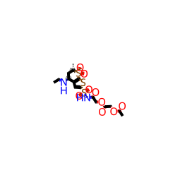 CCN[C@H]1C[C@H](C)S(=O)(=O)c2sc(S(=O)(=O)NC(=O)COC(=O)COC(C)=O)cc21